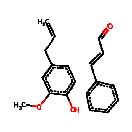 C=CCc1ccc(O)c(OC)c1.O=CC=Cc1ccccc1